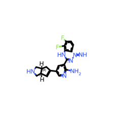 N=N/N=C(\Nc1cccc(F)c1F)c1cc(C2=C[C@@H]3CNC[C@@H]3C2)cnc1N